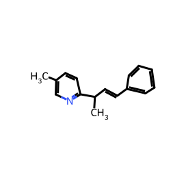 Cc1ccc(C(C)C=Cc2ccccc2)nc1